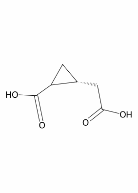 O=C(O)C[C@H]1CC1C(=O)O